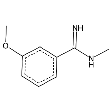 CNC(=N)c1cccc(OC)c1